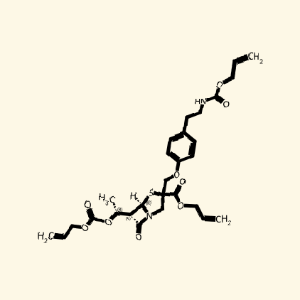 C=CCOC(=O)NCCc1ccc(OCC2(C(=O)OCC=C)CN3C(=O)[C@H]([C@@H](C)OC(=O)OCC=C)[C@H]3S2)cc1